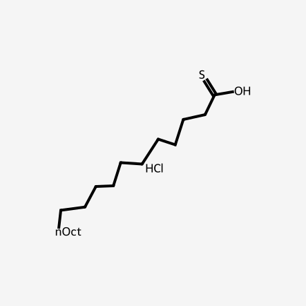 CCCCCCCCCCCCCCCCCCC(O)=S.Cl